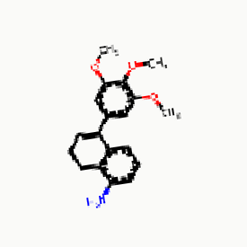 COc1cc(C2=CCCc3c(N)cccc32)cc(OC)c1OC